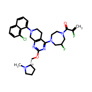 C=C(F)C(=O)N1CCN(c2nc(OC[C@@H]3CCCN3C)nc3c2CCN(c2cccc4cccc(Cl)c24)C3)CC(F)C1